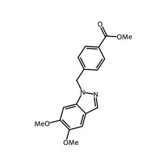 COC(=O)c1ccc(Cn2ncc3cc(OC)c(OC)cc32)cc1